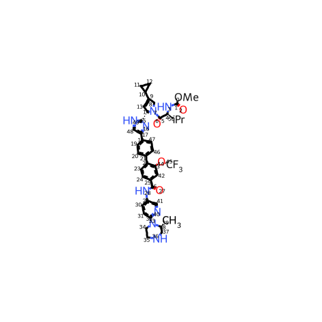 COC(=O)N[C@H](C(=O)N1CC(C2CC2)=C[C@H]1c1nc(-c2ccc(-c3ccc(C(=O)Nc4ccc(N5CCNC[C@H]5C)nc4)cc3OC(F)(F)F)cc2)c[nH]1)C(C)C